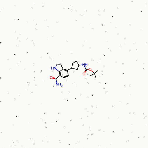 CC(C)(C)OC(=O)NC1CCC(c2ccc(C(N)=O)c3[nH]ccc23)C1